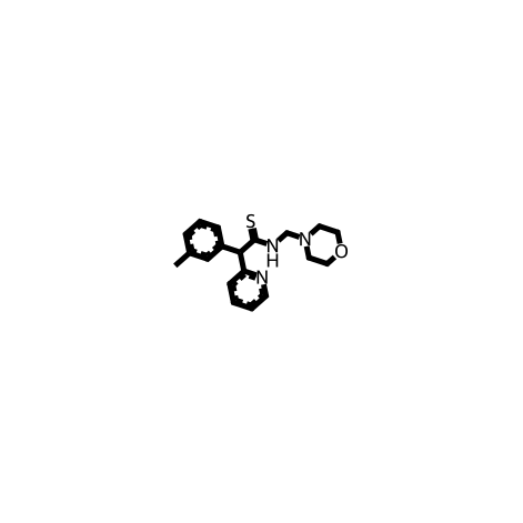 Cc1cccc(C(C(=S)NCN2CCOCC2)c2ccccn2)c1